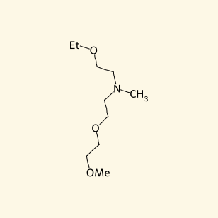 CCOCCN(C)CCOCCOC